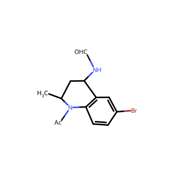 CC(=O)N1c2ccc(Br)cc2C(NC=O)CC1C